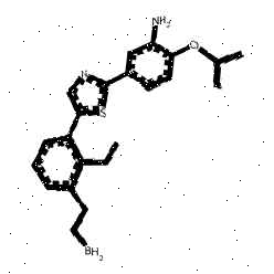 BCCc1cccc(-c2cnc(-c3ccc(OC(C)C)c(N)c3)s2)c1CC